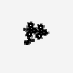 Br.Br.O=[PH](O)O.PC(c1ccccc1)(c1ccccc1)c1ccccc1.PC(c1ccccc1)(c1ccccc1)c1ccccc1